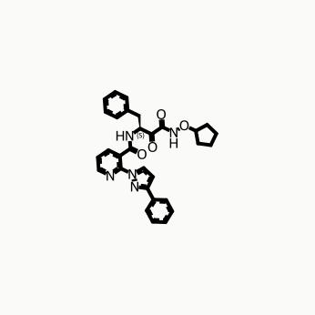 O=C(NOC1CCCC1)C(=O)[C@H](Cc1ccccc1)NC(=O)c1cccnc1-n1ccc(-c2ccccc2)n1